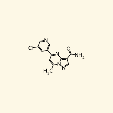 Cc1cc(-c2cncc(Cl)c2)nc2c(C(N)=O)cnn12